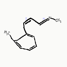 C/N=C/C=C\c1ccccc1C